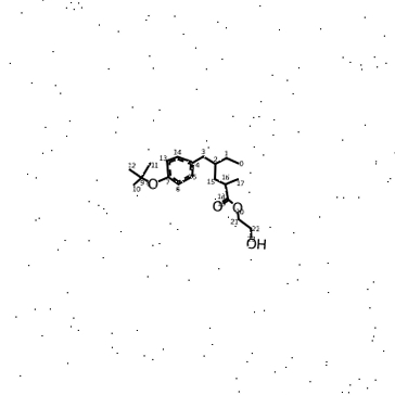 CCC(Cc1ccc(OC(C)(C)C)cc1)CC(C)C(=O)OCCO